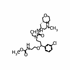 CCN(CCC(OCCNC(=O)OC)c1cccc(Cl)c1)C(=O)N[C@H](CNC)C[C@H]1CCCOC1